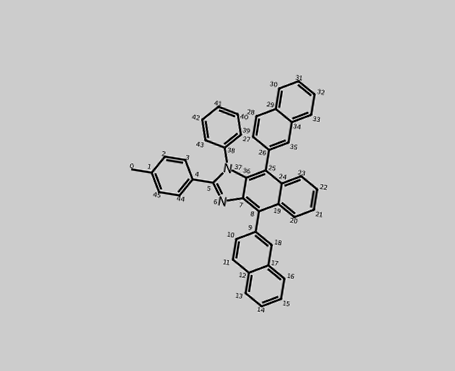 Cc1ccc(-c2nc3c(-c4ccc5ccccc5c4)c4ccccc4c(-c4ccc5ccccc5c4)c3n2-c2ccccc2)cc1